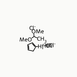 CC[CH2][Hf+3][C]1=CC=CC1.COC(C)OC.[Cl-].[Cl-].[Cl-]